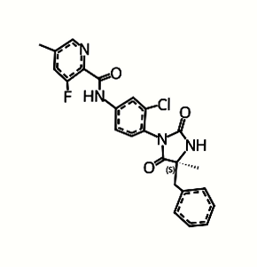 Cc1cnc(C(=O)Nc2ccc(N3C(=O)N[C@@](C)(Cc4ccccc4)C3=O)c(Cl)c2)c(F)c1